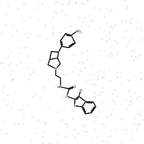 O=C(NCCN1CC2CC(c3ccc([N+](=O)[O-])cc3)C2C1)Oc1sc2ccccc2c1Cl